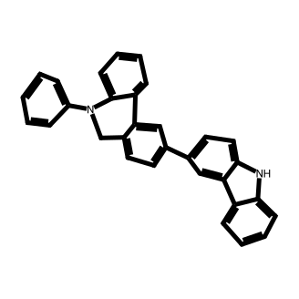 c1ccc(N2Cc3ccc(-c4ccc5[nH]c6ccccc6c5c4)cc3-c3ccccc32)cc1